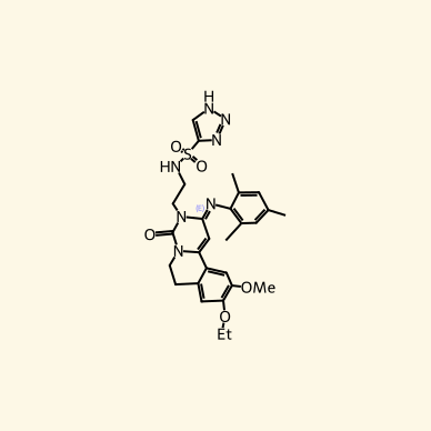 CCOc1cc2c(cc1OC)-c1c/c(=N\c3c(C)cc(C)cc3C)n(CCNS(=O)(=O)c3c[nH]nn3)c(=O)n1CC2